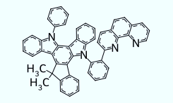 CC1(C)c2ccccc2-c2c1c1c3ccccc3n(-c3ccccc3)c1c1c3ccccc3n(-c3ccccc3-c3ccc4ccc5cccnc5c4n3)c21